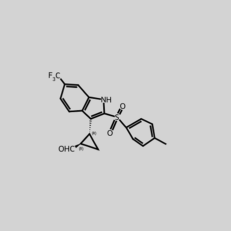 Cc1ccc(S(=O)(=O)c2[nH]c3cc(C(F)(F)F)ccc3c2[C@@H]2C[C@H]2C=O)cc1